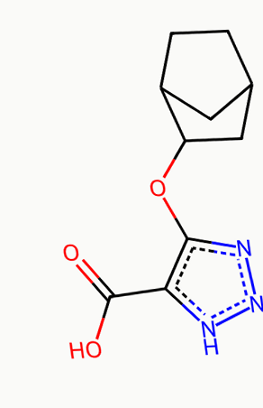 O=C(O)c1[nH]nnc1OC1CC2CCC1C2